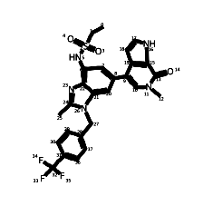 CCS(=O)(=O)Nc1cc(-c2cn(C)c(=O)c3[nH]ccc23)cc2c1nc(C)n2Cc1ccc(C(F)(F)F)cc1